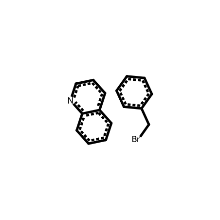 BrCc1ccccc1.c1ccc2ncccc2c1